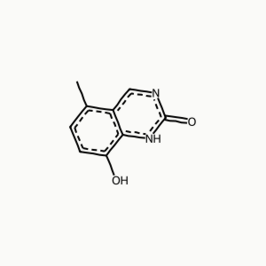 Cc1ccc(O)c2[nH]c(=O)ncc12